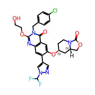 O=C1OC[C@@H]2C[C@@H](Oc3cc4c(=O)n(Cc5ccc(Cl)cc5)c(OCCO)nc4cc3-c3cnn(C(F)F)c3)CCN12